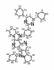 c1ccc(-c2cc(-c3ccccc3)nc(-c3cccc(-n4c5ccccc5c5ncc6c(ncc7c8ccccc8n(-c8ccccc8)c76)c54)c3)n2)cc1